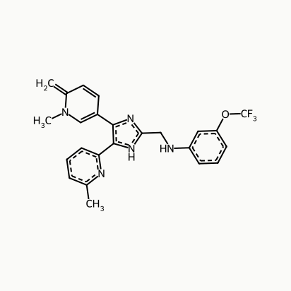 C=C1C=CC(c2nc(CNc3cccc(OC(F)(F)F)c3)[nH]c2-c2cccc(C)n2)=CN1C